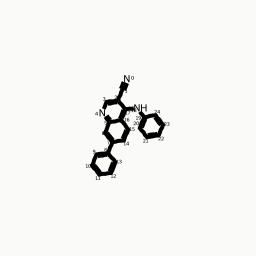 N#Cc1cnc2cc(-c3ccccc3)ccc2c1Nc1ccccc1